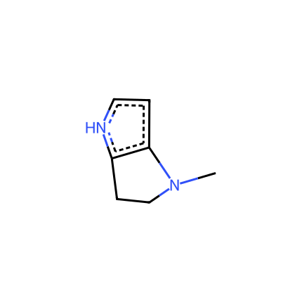 CN1CCc2[nH]ccc21